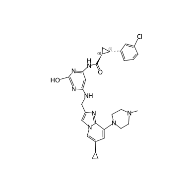 CN1CCN(c2cc(C3CC3)cn3cc(CNc4cc(NC(=O)[C@H]5C[C@@H]5c5cccc(Cl)c5)nc(O)n4)nc23)CC1